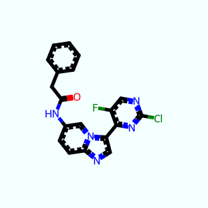 O=C(Cc1ccccc1)Nc1ccc2ncc(-c3nc(Cl)ncc3F)n2c1